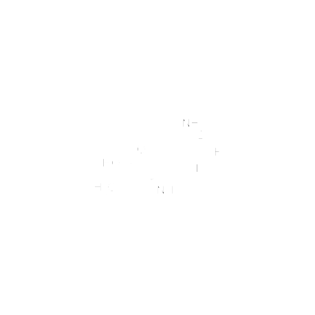 CC[C@@H](C(=N)c1ccc(N)c(C(F)(F)F)c1)C(=O)O